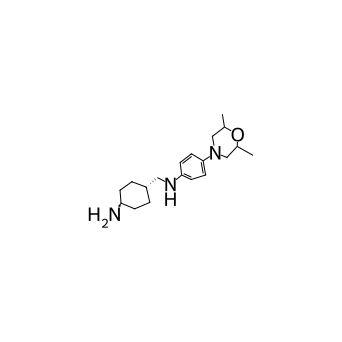 CC1CN(c2ccc(NC[C@H]3CC[C@H](N)CC3)cc2)CC(C)O1